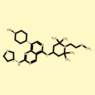 COCCN1C(C)(C)CC(Oc2ncc([C@H]3CC[C@H](O)CC3)c3nc(N[C@@H]4CCOC4)ncc23)CC1(C)C